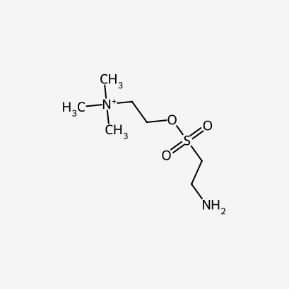 C[N+](C)(C)CCOS(=O)(=O)CCN